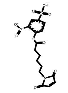 O=C(CCCCCN1C(=O)C=CC1=O)Oc1ccc(S(=O)(=O)O)cc1[N+](=O)[O-]